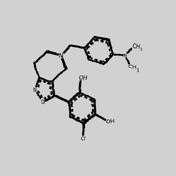 CN(C)c1ccc(CN2CCc3noc(-c4cc(Cl)c(O)cc4O)c3C2)cc1